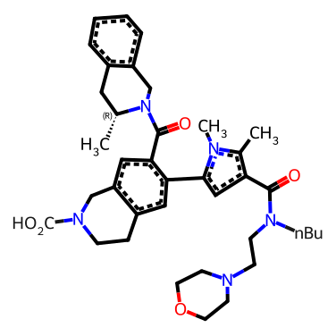 CCCCN(CCN1CCOCC1)C(=O)c1cc(-c2cc3c(cc2C(=O)N2Cc4ccccc4C[C@H]2C)CN(C(=O)O)CC3)n(C)c1C